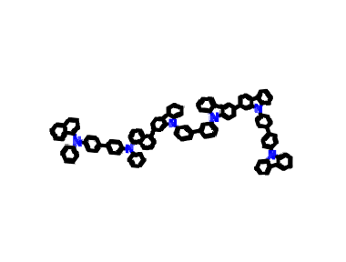 c1ccc(N(c2ccc(-c3ccc(N(c4ccccc4)c4cccc5c(-c6ccc7c8ccccc8n(-c8cccc(-c9cccc(-n%10c%11ccccc%11c%11cc(-c%12ccc%13c%14ccccc%14n(-c%14ccc(-c%15ccc(-n%16c%17ccccc%17c%17ccccc%17%16)cc%15)cc%14)c%13c%12)ccc%11%10)c9)c8)c7c6)cccc45)cc3)cc2)c2cccc3ccccc23)cc1